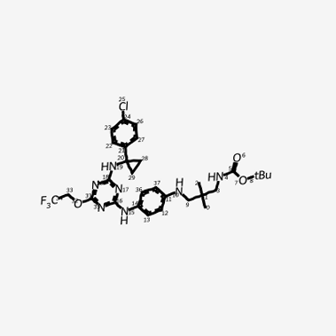 CC(C)(CNC(=O)OC(C)(C)C)CNc1ccc(Nc2nc(NC3(c4ccc(Cl)cc4)CC3)nc(OCC(F)(F)F)n2)cc1